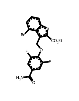 CCOC(=O)c1sc2cccc(Br)c2c1COc1c(F)cc(C(N)=O)cc1F